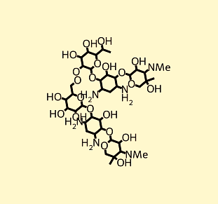 CNC1C(O)C(OC2C(N)CC(N)C(OC3OC(COOC4C(OC5C(N)CC(N)C(OC6OCC(C)(O)C(NC)C6O)C5O)OC(C(C)O)C(O)C4O)C(O)C(O)C3O)C2O)OCC1(C)O